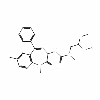 COC(CN(C)C(=S)NC1N=C(c2ccccc2)c2cc(Cl)ccc2N(C)C1=O)OC